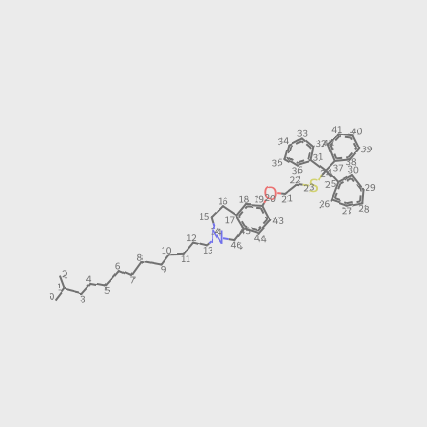 CC(C)CCCCCCCCCCCN1CCc2cc(OCCSC(c3ccccc3)(c3ccccc3)c3ccccc3)ccc2C1